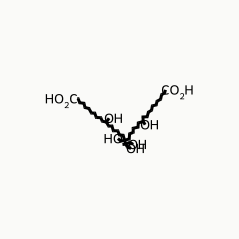 CC(CO)(CO)C(CO)(CCCCCCC(O)CCCCCCCCCCC(=O)O)CCCCCCC(O)CCCCCCCCCCC(=O)O